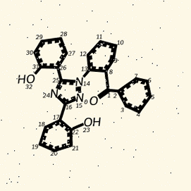 O=C(c1ccccc1)c1ccccc1-n1nc(-c2ccccc2O)nc1-c1ccccc1O